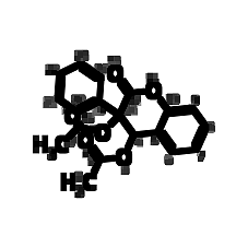 CC(=O)OC1c2ccccc2OC(=O)C1(OC(C)=O)c1ccccc1